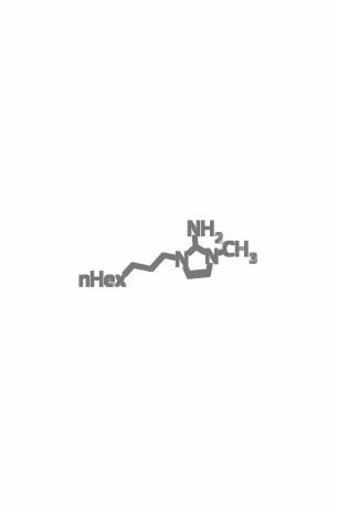 CCCCCCCCCN1C=CN(C)C1N